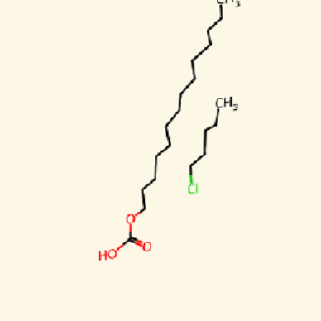 CCCCCCCCCCCCCCOC(=O)O.CCCCCCl